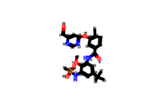 COc1c(NC(=O)c2ccc(C)c(Oc3cc(C=O)ncn3)c2)cc(C(C)(C)C)cc1NS(C)(=O)=O